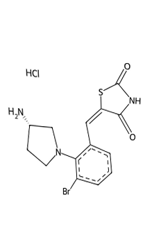 Cl.N[C@H]1CCN(c2c(Br)cccc2C=C2SC(=O)NC2=O)C1